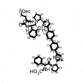 CCCCCCCCCCCCCC[C@@](CN1CCC[C@H]1c1ncc(-c2ccc(-c3ccc(-c4cnc([C@@H]5CCCN5C(=O)[C@H](NC(=O)O)c5ccccc5)[nH]4)cc3)cc2)[nH]1)(NC(=O)OC)c1ccccc1Cl